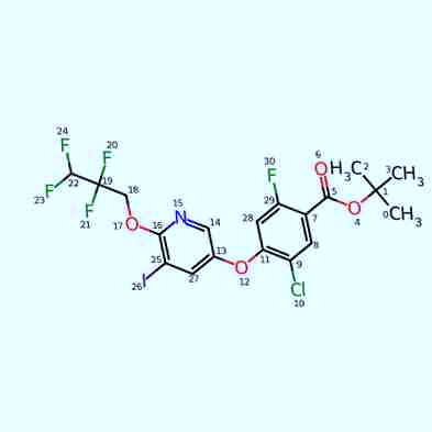 CC(C)(C)OC(=O)c1cc(Cl)c(Oc2cnc(OCC(F)(F)C(F)F)c(I)c2)cc1F